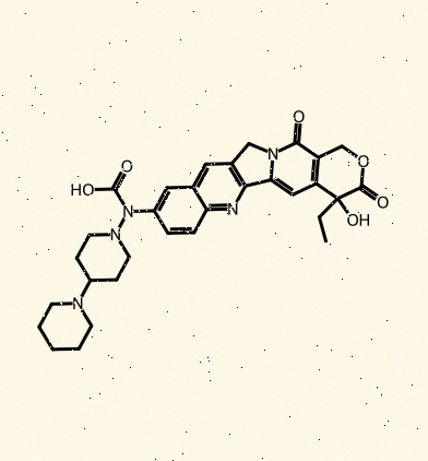 CCC1(O)C(=O)OCc2c1cc1n(c2=O)Cc2cc3cc(N(C(=O)O)N4CCC(N5CCCCC5)CC4)ccc3nc2-1